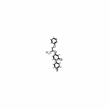 CC(COc1ccccc1)Oc1ccn(-c2ccc(F)cc2)c(=O)c1